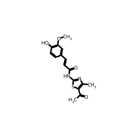 COc1cc(/C=C/C(=O)Nc2nc(C)c(C(C)=O)s2)ccc1O